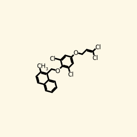 Cc1ccc2ccccc2c1COc1c(Cl)cc(OCC=C(Cl)Cl)cc1Cl